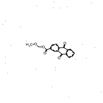 COCOC(=O)c1ccc2c(c1)C(=O)c1ccccc1C2=O